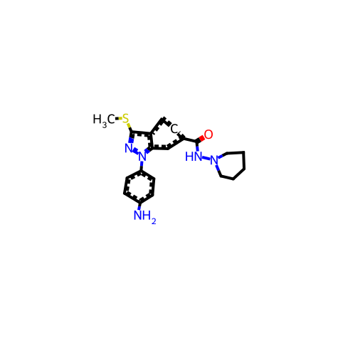 CSc1nn(-c2ccc(N)cc2)c2cc(C(=O)NN3CCCCC3)ccc12